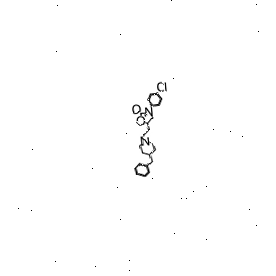 O=C1OC(CCN2CCC(Cc3ccccc3)CC2)CN1c1ccc(Cl)cc1